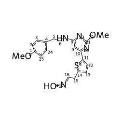 COc1ccc(CCNc2cc(-c3ccc(CC=NO)s3)nc(OC)n2)cc1